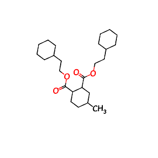 CC1CCC(C(=O)OCCC2CCCCC2)C(C(=O)OCCC2CCCCC2)C1